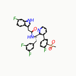 CS(=O)(=O)c1cc(-c2cccnc2[C@H](Cc2cc(F)cc(F)c2)NC(=O)Cc2c[nH]c3cc(F)ccc23)ccc1F